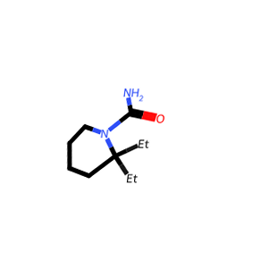 CCC1(CC)CCCCN1C(N)=O